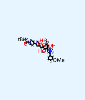 COc1cccc(-c2cn([C@H]3[C@@H](O)[C@@H](CO)O[C@H](CC4CC(C5CCN(C(=O)OC(C)(C)C)CC5)=NO4)[C@@H]3O)nn2)c1